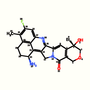 CC[C@@]1(O)COCc2c1cc1n(c2=O)Cc2c-1nc1cc(F)c(C)c3c1c2[C@@H](N)CC3